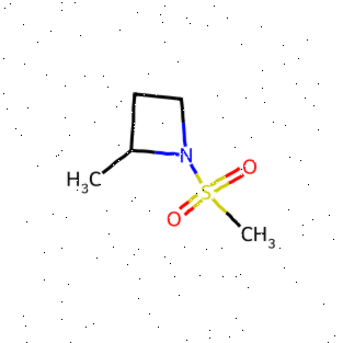 CC1CCN1S(C)(=O)=O